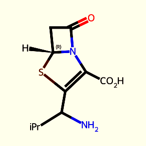 CC(C)C(N)C1=C(C(=O)O)N2C(=O)C[C@H]2S1